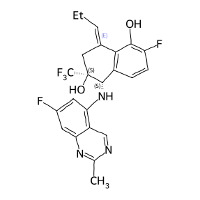 CC/C=C1\C[C@@](O)(C(F)(F)F)[C@@H](Nc2cc(F)cc3nc(C)ncc23)c2ccc(F)c(O)c21